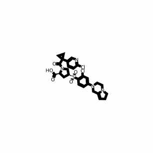 O=C(O)[C@@H]1C[C@@H](S(=O)(=O)c2ccc(N3CCN4CCC=C4C3)cc2Cl)CN1C(=O)C1(c2ccc(Cl)nc2)CC1